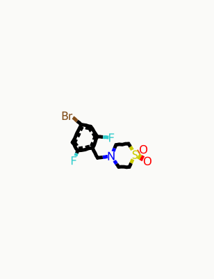 O=S1(=O)CCN(Cc2c(F)cc(Br)cc2F)CC1